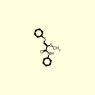 CSC(=CSc1ccccc1)C(=O)Nc1ccccc1